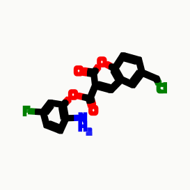 Nc1ccc(F)cc1OC(=O)c1cc2cc(CCl)ccc2oc1=O